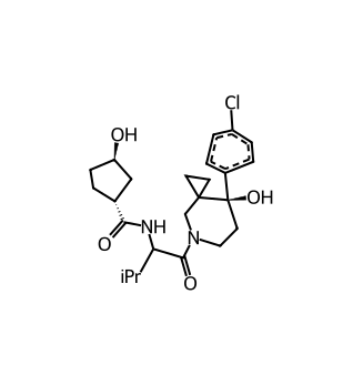 CC(C)C(NC(=O)[C@@H]1CC[C@@H](O)C1)C(=O)N1CC[C@@](O)(c2ccc(Cl)cc2)C2(CC2)C1